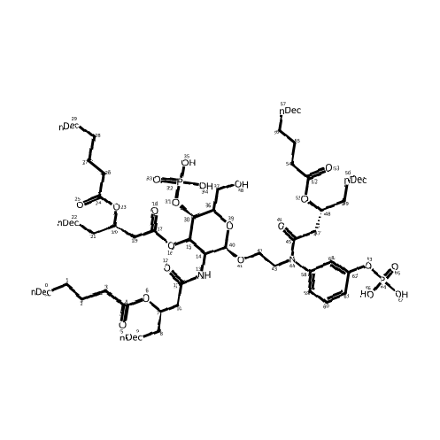 CCCCCCCCCCCCCC(=O)O[C@H](CCCCCCCCCCC)CC(=O)NC1C(OC(=O)C[C@@H](CCCCCCCCCCC)OC(=O)CCCCCCCCCCCCC)[C@@H](OP(=O)(O)O)C(CO)O[C@H]1OCCN(C(=O)C[C@@H](CCCCCCCCCCC)OC(=O)CCCCCCCCCCCCC)c1cccc(OP(=O)(O)O)c1